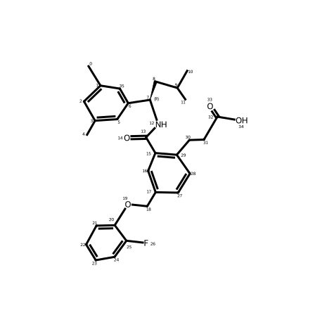 Cc1cc(C)cc([C@@H](CC(C)C)NC(=O)c2cc(COc3ccccc3F)ccc2CCC(=O)O)c1